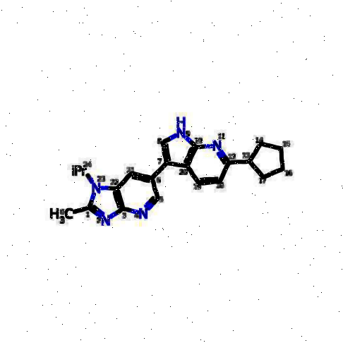 Cc1nc2ncc(-c3c[nH]c4nc(C5CCCC5)ccc34)cc2n1C(C)C